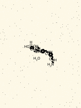 NCCNC(=O)Cc1ccc(NC(=O)Cc2ccc(Nc3ncnc4c3ncn4[C@@H]3O[C@H](CO)[C@@H](O)[C@@H]3O)cc2)cc1.O